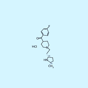 C[C@H]1CC[C@@H](CCN2CCC(C(=O)c3ccc(F)cc3)CC2)N1.Cl